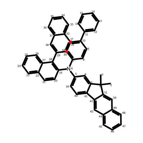 CC1(C)c2cc(N(c3ccc(-c4ccccc4)cc3)c3ccc4ccccc4c3-c3ccc4ccccc4c3)ccc2-c2cc3ccccc3cc21